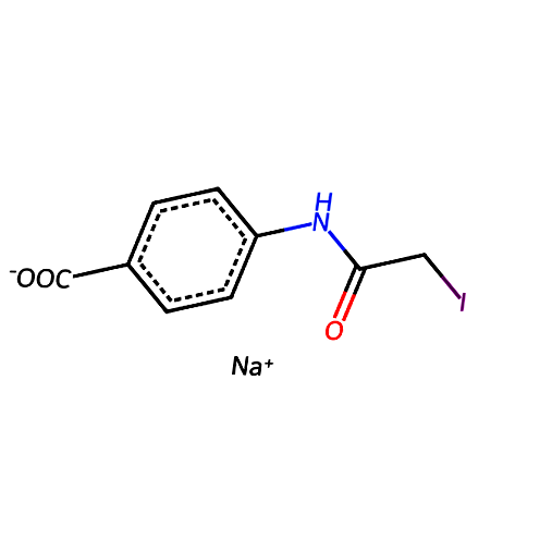 O=C(CI)Nc1ccc(C(=O)[O-])cc1.[Na+]